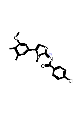 COc1cc(-c2cs/c(=N/C(=O)c3ccc(Cl)cc3)n2C)cc(C)c1C